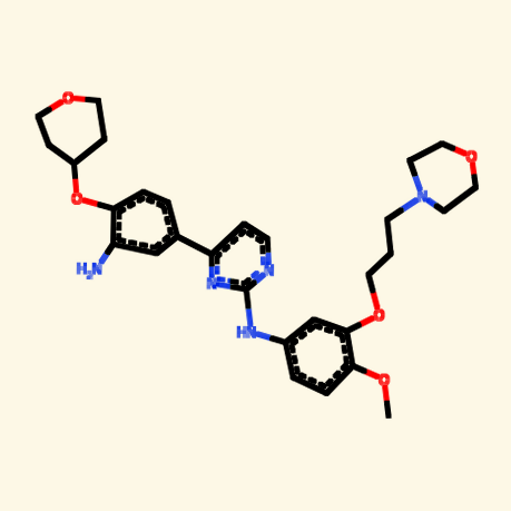 COc1ccc(Nc2nccc(-c3ccc(OC4CCOCC4)c(N)c3)n2)cc1OCCCN1CCOCC1